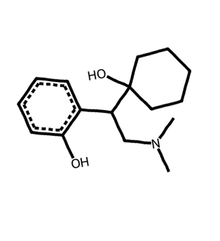 CN(C)CC(c1ccccc1O)C1(O)CCCCC1